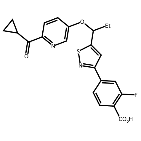 CCC(Oc1ccc(C(=O)C2CC2)nc1)c1cc(-c2ccc(C(=O)O)c(F)c2)ns1